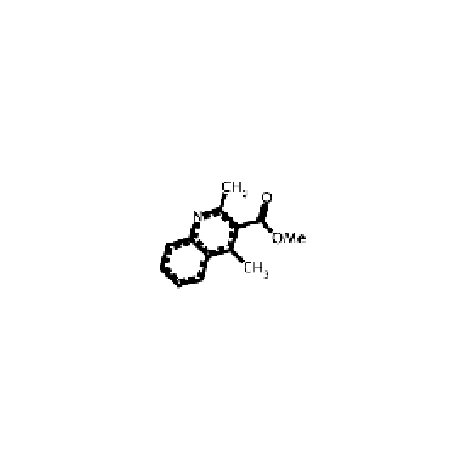 COC(=O)c1c(C)nc2ccccc2c1C